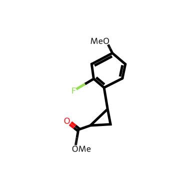 COC(=O)C1CC1c1ccc(OC)cc1F